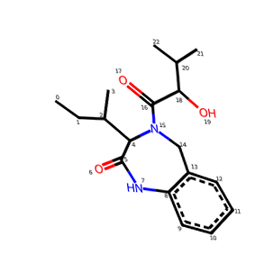 CCC(C)C1C(=O)Nc2ccccc2CN1C(=O)C(O)C(C)C